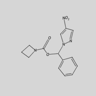 O=C(OC(c1ccccc1)n1cc([N+](=O)[O-])cn1)N1CCC1